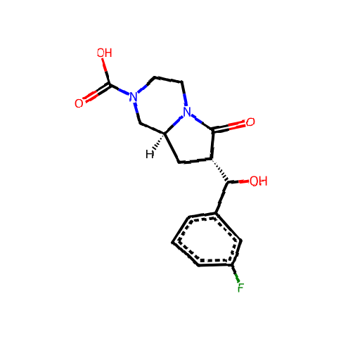 O=C(O)N1CCN2C(=O)[C@H](C(O)c3cccc(F)c3)C[C@H]2C1